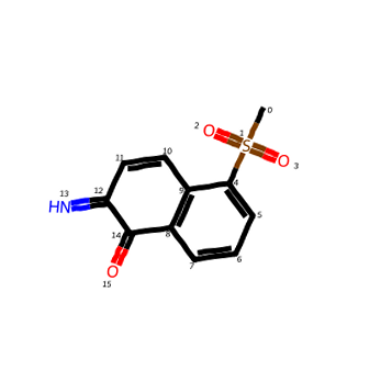 CS(=O)(=O)c1cccc2c1C=CC(=N)C2=O